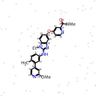 CCn1c(Nc2ccc(C)c(-c3ccnc(OC)c3)c2)nc2cc(Oc3ccnc(C(=O)NC)c3)ccc21